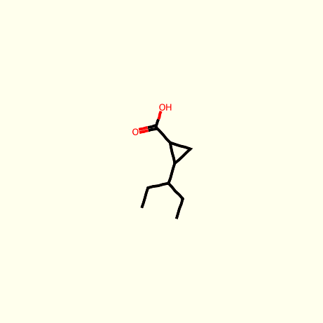 CCC(CC)C1CC1C(=O)O